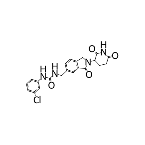 O=C1CCC(N2Cc3ccc(CNC(=O)Nc4cccc(Cl)c4)cc3C2=O)C(=O)N1